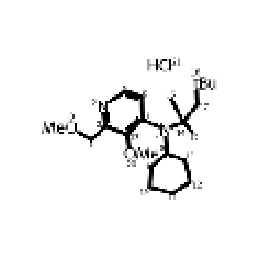 COCc1nccc(N(C2CCCCC2)C(C)(C)CC(C)(C)C)c1OC.Cl